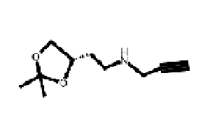 C#CCNCC[C@H]1COC(C)(C)O1